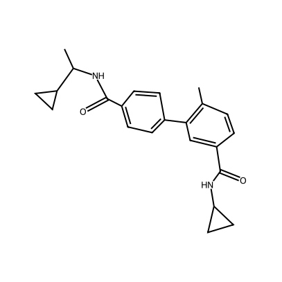 Cc1ccc(C(=O)NC2CC2)cc1-c1ccc(C(=O)NC(C)C2CC2)cc1